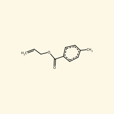 C=CCOC(=O)c1ccc(C)cc1